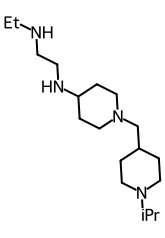 CCNCCNC1CCN(CC2CCN(C(C)C)CC2)CC1